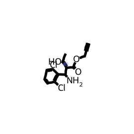 C#CCOC(=O)/C(=C(\C)O)C(N)c1c(Cl)cccc1Cl